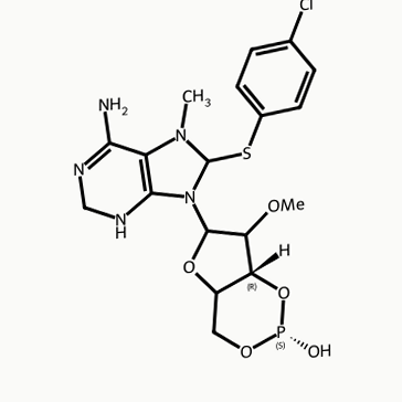 COC1C(N2C3=C(C(N)=NCN3)N(C)C2Sc2ccc(Cl)cc2)OC2CO[P@@](O)O[C@H]21